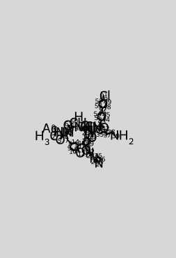 CC(=O)[C@H](C)NC(=O)[C@@H]1Cc2ccc(O)c(c2)-c2cc(ccc2OCCn2ccnc2)[C@H](N(C)C(=O)[C@H](CCCCN)NC(=O)c2ccc(-c3ccc(Cl)cc3)cc2)C(=O)N[C@@H](C)C(=O)N1